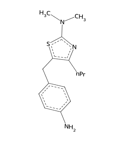 CCCc1nc(N(C)C)sc1Cc1ccc(N)cc1